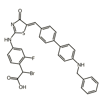 O=C1N=C(Nc2ccc(C(Br)C(=O)O)c(F)c2)SC1=Cc1ccc(-c2ccc(NCc3ccccc3)cc2)cc1